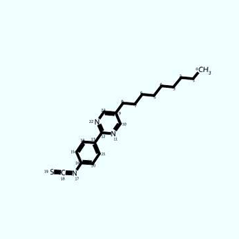 CCCCCCCCCc1cnc(-c2ccc(N=C=S)cc2)nc1